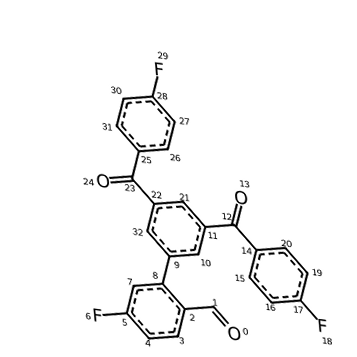 O=Cc1ccc(F)cc1-c1cc(C(=O)c2ccc(F)cc2)cc(C(=O)c2ccc(F)cc2)c1